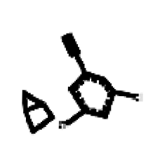 C#Cc1cc(Cl)cc(Cl)c1.C1CC2CC12